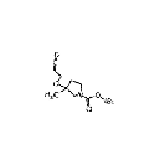 CC(C)(C)OC(=O)N1CCC(C)(OCC=C=O)C1